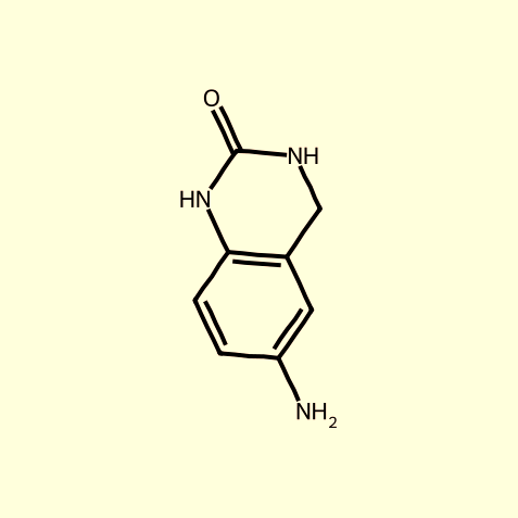 Nc1ccc2c(c1)CNC(=O)N2